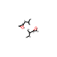 CC(C)CC1CO1.CCC(C)C1CO1